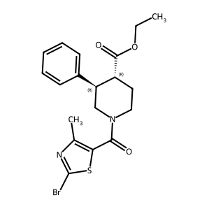 CCOC(=O)[C@@H]1CCN(C(=O)c2sc(Br)nc2C)C[C@H]1c1ccccc1